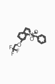 O=S(=O)(c1ccccc1)n1ccc2ccc(OCC(F)(F)F)cc21